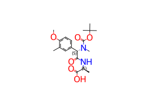 COc1ccc([C@@H](C(=O)N[C@@H](C)C(=O)O)N(C)C(=O)OC(C)(C)C)cc1C